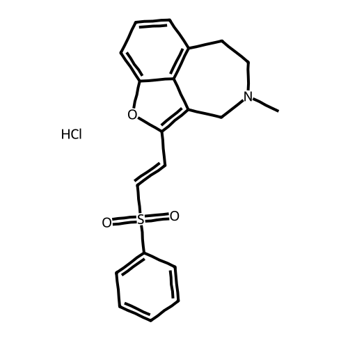 CN1CCc2cccc3oc(C=CS(=O)(=O)c4ccccc4)c(c23)C1.Cl